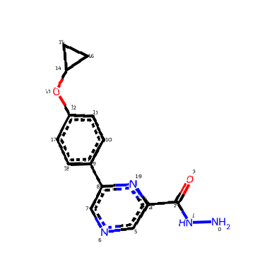 NNC(=O)c1cncc(-c2ccc(OC3CC3)cc2)n1